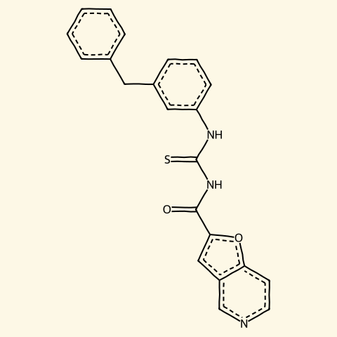 O=C(NC(=S)Nc1cccc(Cc2ccccc2)c1)c1cc2cnccc2o1